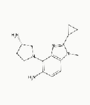 Cn1c(C2CC2)nc2c(N3CC[C@H](N)C3)c(N)ccc21